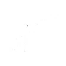 CCCCCc1ccc(-c2ccc(OC)c(F)c2)nc1